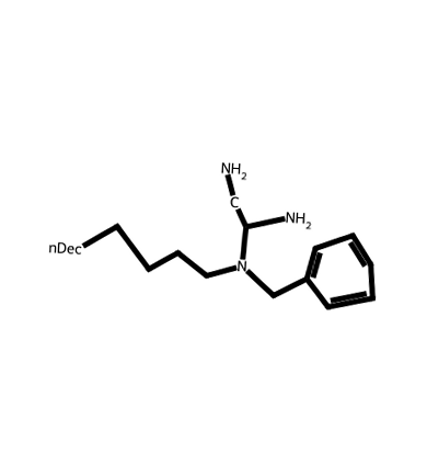 CCCCCCCCCCCCCCN(Cc1ccccc1)C(N)CN